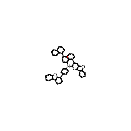 c1ccc(-c2cc3oc4ccccc4c3cc2N(c2ccc(-c3cccc4ccccc34)cc2)c2ccc(-c3cccc4c3oc3ccccc34)cc2)cc1